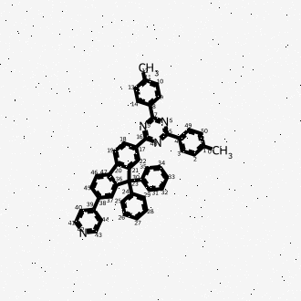 Cc1ccc(-c2nc(-c3ccc(C)cc3)nc(-c3ccc4c(c3)C(c3ccccc3)(c3ccccc3)c3cc(-c5ccncc5)ccc3-4)n2)cc1